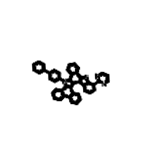 c1ccc(-c2ccc(-n3c4c5ccccc5c5ccccc5c4c4c5c6cccc(-c7ncccn7)c6sc5c5ccccc5c43)cc2)cc1